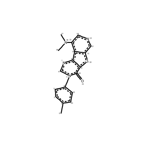 Cc1ccc(-n2cnc3c(sc4cncc(N(C)C)c43)c2=O)cc1